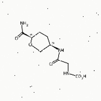 NC(=O)[C@H]1CC[C@@H](NC(=O)CNC(=O)O)CO1